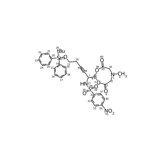 CN1CC(=O)OB(C(C#CCCO[Si](c2ccccc2)(c2ccccc2)C(C)(C)C)NS(=O)(=O)c2ccc([N+](=O)[O-])cc2)OC(=O)C1